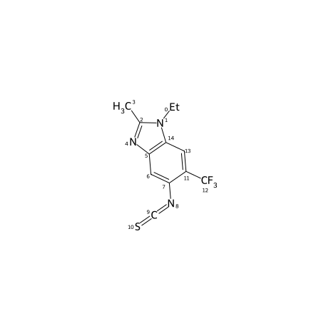 CCn1c(C)nc2cc(N=C=S)c(C(F)(F)F)cc21